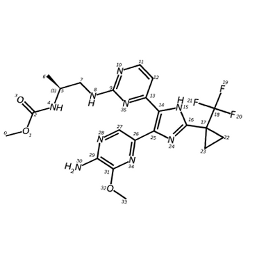 COC(=O)N[C@@H](C)CNc1nccc(-c2[nH]c(C3(C(F)(F)F)CC3)nc2-c2cnc(N)c(OC)n2)n1